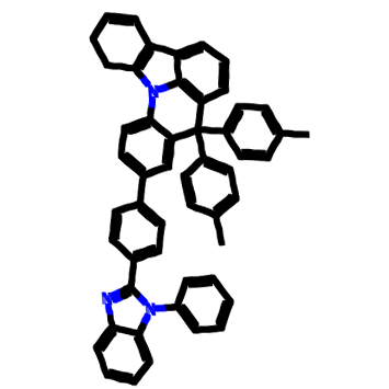 Cc1ccc(C2(c3ccc(C)cc3)c3cc(-c4ccc(-c5nc6ccccc6n5-c5ccccc5)cc4)ccc3-n3c4c(c5cccc2c53)C=CCC4)cc1